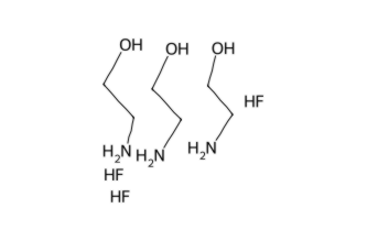 F.F.F.NCCO.NCCO.NCCO